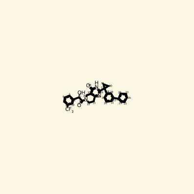 O=C([C@H](O)c1cccc(C(F)(F)F)c1)N1CCc2nc(C3(c4cccc(-c5ccccc5)c4)CC3)[nH]c(=O)c2C1